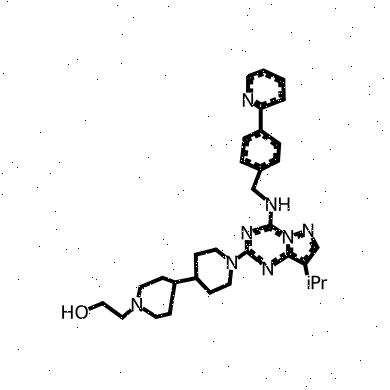 CC(C)c1cnn2c(NCc3ccc(-c4ccccn4)cc3)nc(N3CCC(C4CCN(CCO)CC4)CC3)nc12